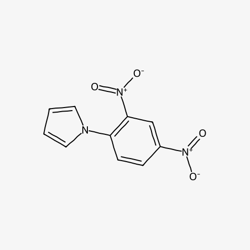 O=[N+]([O-])c1ccc(-n2cccc2)c([N+](=O)[O-])c1